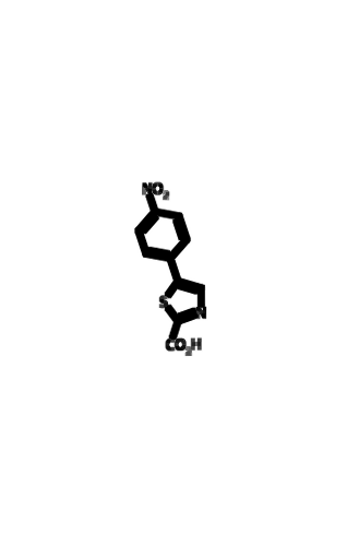 O=C(O)c1ncc(-c2ccc([N+](=O)[O-])cc2)s1